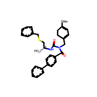 COC1=CC=C(CN(C(=O)N[C@@H](CSCc2ccccc2)C(=O)O)C(=O)c2ccc(-c3ccccc3)cc2)CC1